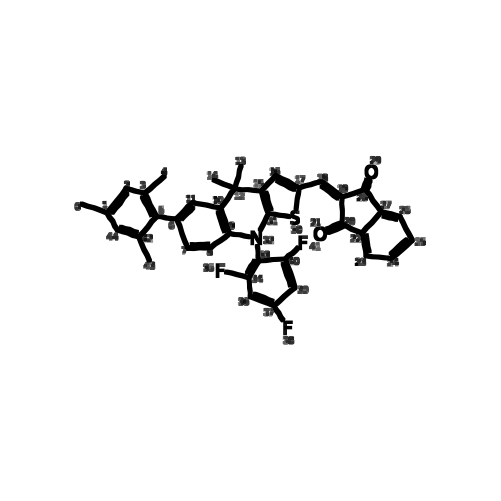 Cc1cc(C)c(-c2ccc3c(c2)C(C)(C)c2cc(C=C4C(=O)c5ccccc5C4=O)sc2N3c2c(F)cc(F)cc2F)c(C)c1